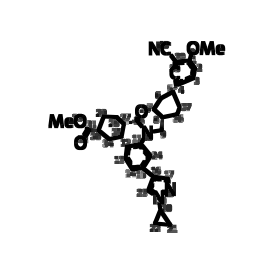 COc1ccc([C@H]2CC[C@H](CN(c3cccc(-c4cnn(C5CC5)c4)c3)C(=O)[C@H]3CC[C@H](C(=O)OC)CC3)CC2)cc1C#N